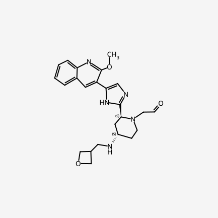 COc1nc2ccccc2cc1-c1cnc([C@@H]2C[C@@H](NCC3COC3)CCN2CC=O)[nH]1